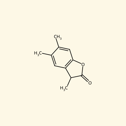 Cc1cc2c(cc1C)C(C)C(=O)O2